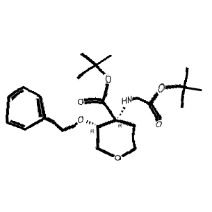 CC(C)(C)OC(=O)N[C@]1(C(=O)OC(C)(C)C)CCOC[C@@H]1OCc1ccccc1